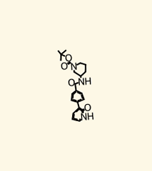 CC(C)(C)OC(=O)N1CCCC(NC(=O)c2ccc(-c3ccc[nH]c3=O)cc2)C1